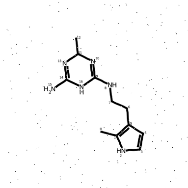 Cc1[nH]ccc1CCNC1=NC(C)N=C(N)N1